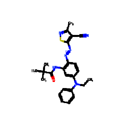 CCN(c1ccccc1)c1ccc(/N=N/c2snc(C)c2C#N)c(NC(=O)C(C)(C)C)c1